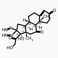 C[C@]12CCC(=O)C=C1CC[C@@H]1[C@@H]2C(=O)C[C@@]2(C)[C@H]1CC(N=N)(N=N)[C@]2(O)C(=O)CO